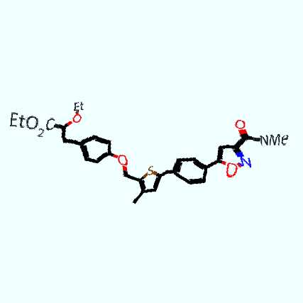 CCOC(=O)C(Cc1ccc(OCc2sc(-c3ccc(-c4cc(C(=O)NC)no4)cc3)cc2C)cc1)OCC